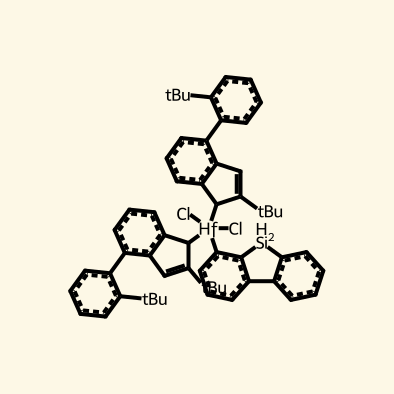 CC(C)(C)C1=Cc2c(-c3ccccc3C(C)(C)C)cccc2[CH]1[Hf]([Cl])([Cl])([c]1cccc2c1[SiH2]c1ccccc1-2)[CH]1C(C(C)(C)C)=Cc2c(-c3ccccc3C(C)(C)C)cccc21